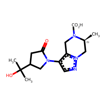 C[C@H]1Cn2ncc(N3CC(C(C)(C)O)CC3=O)c2CN1C(=O)O